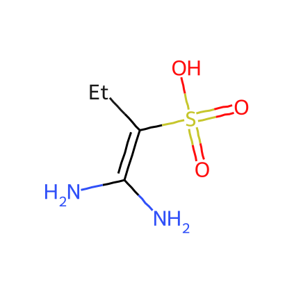 CCC(=C(N)N)S(=O)(=O)O